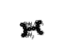 CC1(C)c2ccccc2-c2cc3c4cc5c(cc4n(-c4ccc(-c6ccc(-n7c8cc9c(cc8c8cc%10c(cc87)sc7ccccc7%10)-c7ccccc7C9(C)C)cc6)cc4)c3cc21)C(C)(C)c1ccccc1-5